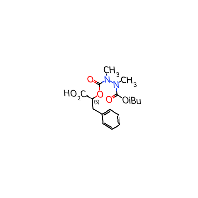 CC(C)COC(=O)N(C)N(C)C(=O)O[C@@H](Cc1ccccc1)C(=O)O